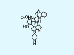 CC(=O)O.COc1ccccc1NC(=O)c1cc2c(-c3nn(C4CCNCC4)c4ncnc(N)c34)c(O)ccc2[nH]1